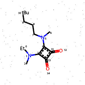 CCN(C)c1c(N(C)CCCC(C)(C)C)c(=O)c1=O